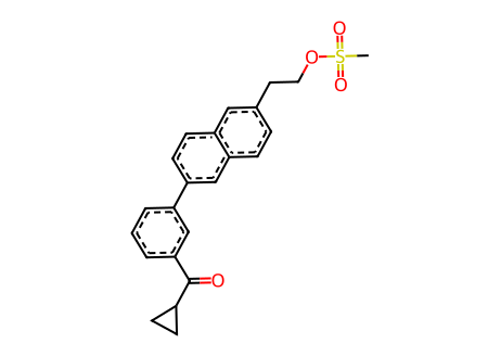 CS(=O)(=O)OCCc1ccc2cc(-c3cccc(C(=O)C4CC4)c3)ccc2c1